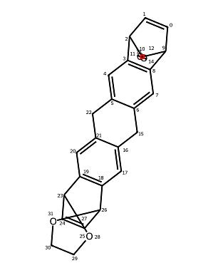 C1=CC2c3cc4c(cc3C1C21OCCO1)Cc1cc2c(cc1C4)C1C=CC2C12OCCO2